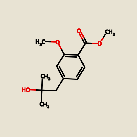 COC(=O)c1ccc(CC(C)(C)O)cc1OC